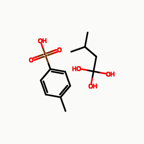 CC(C)CC(O)(O)O.Cc1ccc(S(=O)(=O)O)cc1